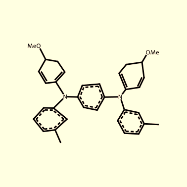 COC1C=CC(N(c2ccc(N(C3=CCC(OC)C=C3)c3cccc(C)c3)cc2)c2cccc(C)c2)=CC1